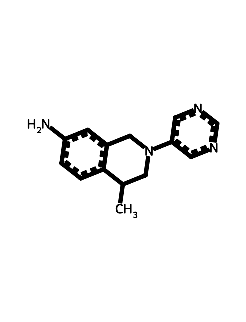 CC1CN(c2cncnc2)Cc2cc(N)ccc21